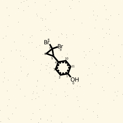 Oc1ccc(C2CC2(Br)Br)cc1